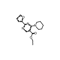 CCOC(=O)c1cnc(-c2ccco2)nc1N1CCCCC1